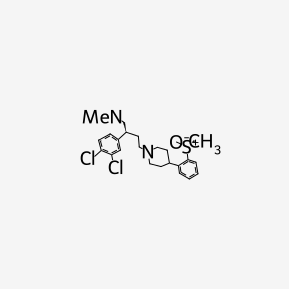 CNC[C@@H](CCN1CCC(c2ccccc2[S@+](C)[O-])CC1)c1ccc(Cl)c(Cl)c1